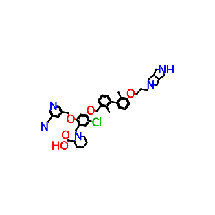 Cc1c(COc2cc(OCc3cncc(C#N)c3)c(CN3CCCC[C@H]3C(=O)O)cc2Cl)cccc1-c1cccc(OCCCN2CC3CNCC3C2)c1C